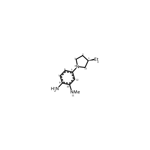 CC[C@@H]1CCN(c2ccc(N)c(NC)c2)C1